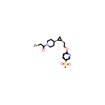 CC(C)CC(=O)N1CCC([C@H]2C[C@H]2CCOc2ccc(S(C)(=O)=O)cn2)CC1